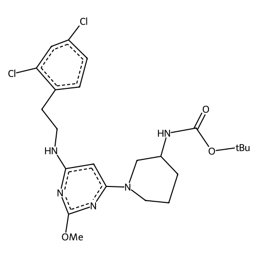 COc1nc(NCCc2ccc(Cl)cc2Cl)cc(N2CCCC(NC(=O)OC(C)(C)C)C2)n1